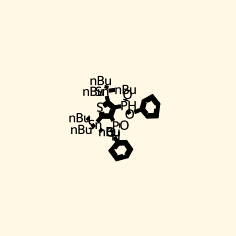 CCC[CH2][Sn]([CH2]CCC)([CH2]CCC)[c]1s[c]([Sn]([CH2]CCC)([CH2]CCC)[CH2]CCC)c([PH](=O)Oc2ccccc2)c1[PH](=O)Oc1ccccc1